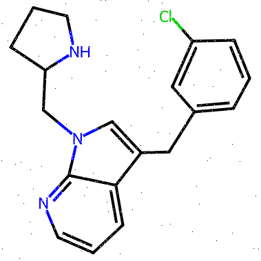 Clc1cccc(Cc2cn(CC3CCCN3)c3ncccc23)c1